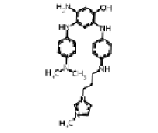 CN(C)c1ccc(Nc2cc(Nc3ccc(NCCCn4cc[n+](C)c4)cc3)c(O)cc2N)cc1